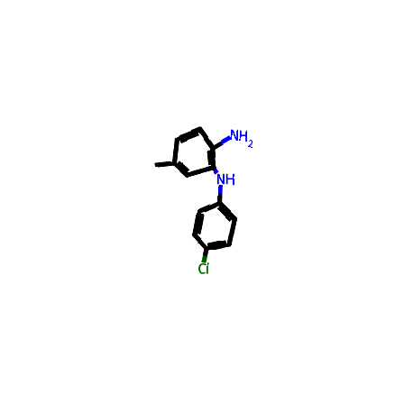 Cc1ccc(N)c(Nc2ccc(Cl)cc2)c1